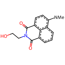 CNc1ccc2c3c(cccc13)C(=O)N(CCO)C2=O